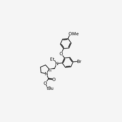 CCN(C[C@@H]1CCCN1C(=O)OC(C)(C)C)c1ccc(Br)cc1Oc1ccc(OC)cc1